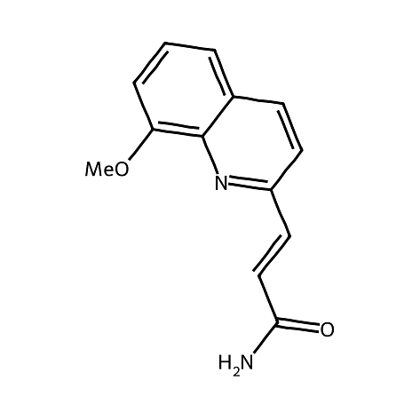 COc1cccc2ccc(C=CC(N)=O)nc12